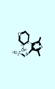 CC(=O)O.Cc1sc(C)c([C@H]2CCOC[C@H]2O)c1Br